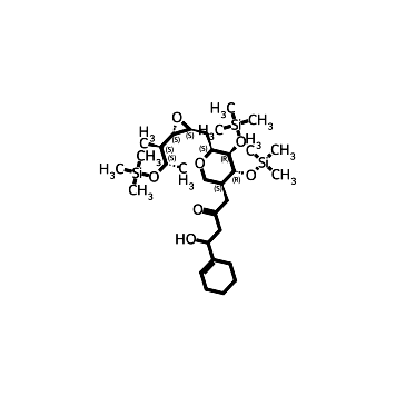 C[C@@H]([C@@H]1O[C@H]1C[C@@H]1OC[C@H](CC(=O)CC(O)C2=CCCCC2)[C@@H](O[Si](C)(C)C)[C@@H]1O[Si](C)(C)C)[C@H](C)O[Si](C)(C)C